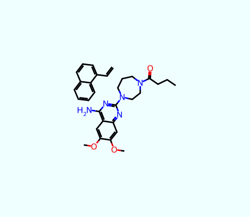 C=Cc1cccc2ccccc12.CCCC(=O)N1CCCN(c2nc(N)c3cc(OC)c(OC)cc3n2)CC1